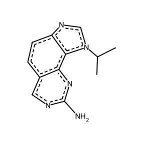 CC(C)n1cnc2ccc3cnc(N)nc3c21